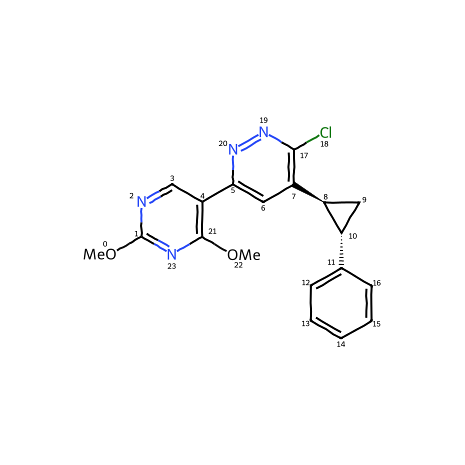 COc1ncc(-c2cc([C@H]3C[C@@H]3c3ccccc3)c(Cl)nn2)c(OC)n1